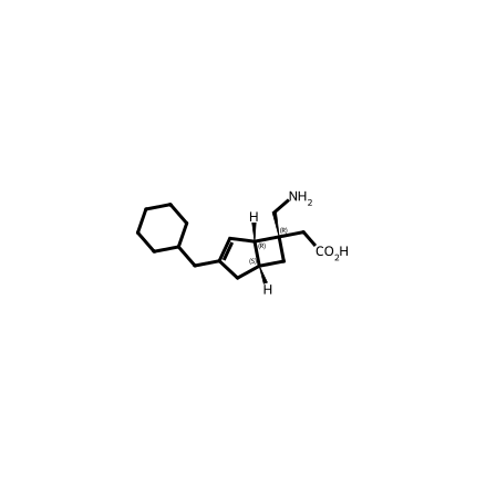 NC[C@@]1(CC(=O)O)C[C@@H]2CC(CC3CCCCC3)=C[C@@H]21